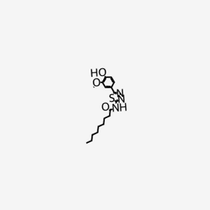 CCCCCCCCC(=O)Nc1nnc(-c2ccc(O)c(OC)c2)s1